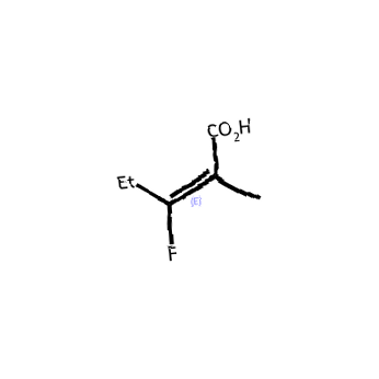 CC/C(F)=C(/C)C(=O)O